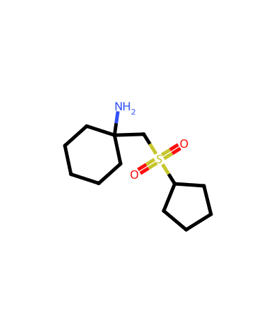 NC1(CS(=O)(=O)C2CCCC2)CCCCC1